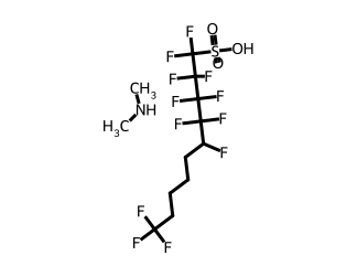 CNC.O=S(=O)(O)C(F)(F)C(F)(F)C(F)(F)C(F)(F)C(F)CCCCC(F)(F)F